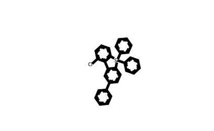 Clc1cccc2c1-c1cc(-c3ccccc3)ccc1[Si]2(c1ccccc1)c1ccccc1